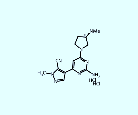 CN[C@@H]1CCN(c2cc(-c3cnn(C)c3C#N)nc(N)n2)C1.Cl.Cl